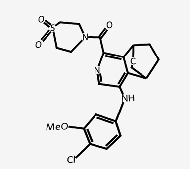 COc1cc(Nc2cnc(C(=O)N3CCS(=O)(=O)CC3)c3c2C2CCC3CC2)ccc1Cl